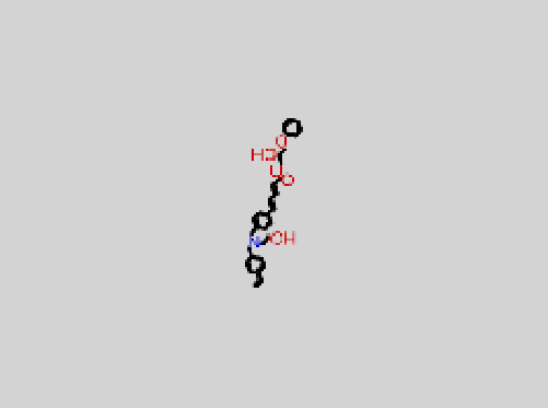 C=Cc1ccc(CN(CCO)Cc2ccc(/C=C/C=C/C(=O)OCC(O)COc3ccccc3)cc2)cc1